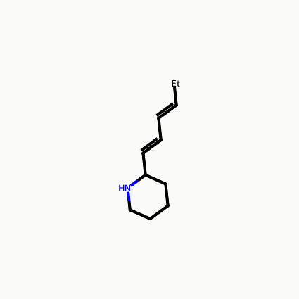 [CH2]CC=CC=CC1CCCCN1